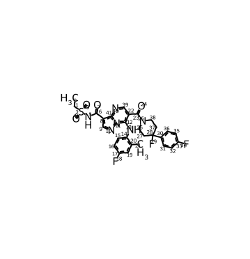 CCS(=O)(=O)NC(=O)c1cnn2c(Nc3ccc(F)cc3C)c(C(=O)N3CCC(F)(c4ccc(F)cc4)CC3)cnc12